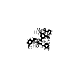 CCc1cccc(C2(NC[C@@H](O)[C@H](Cc3cc(F)cc(F)c3)NC(=O)c3cc(C)cc(C(=O)N4CCC[C@@H]4COC)c3)CC2)c1